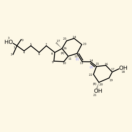 CC(C)(O)CCCCC1CCC2/C(=C/C=C3/CC(O)C[C@H](O)C3)CCC[C@]12C